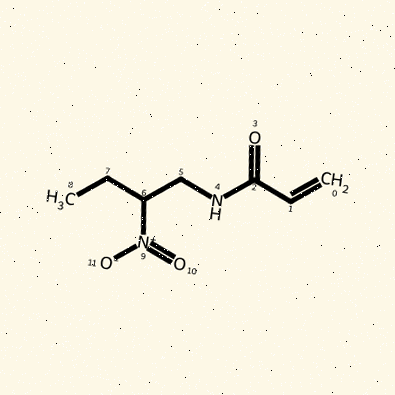 C=CC(=O)NCC(CC)[N+](=O)[O-]